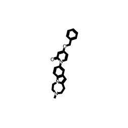 CN1CCc2cc3cc(-n4ccc(OCc5ccccc5)cc4=O)ccc3n2CC1